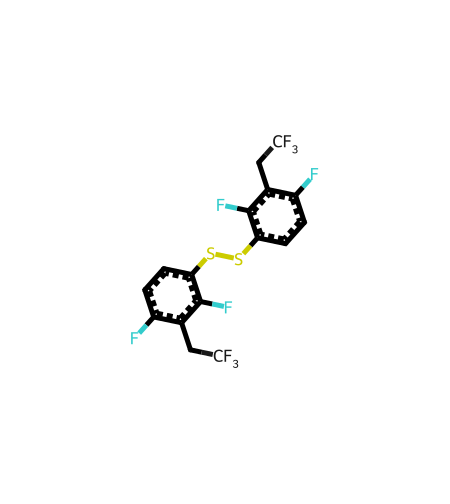 Fc1ccc(SSc2ccc(F)c(CC(F)(F)F)c2F)c(F)c1CC(F)(F)F